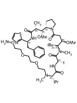 CC[C@H](C)[C@@H]([C@@H](CC(=O)N1CCC[C@H]1[C@H](OC)[C@@H](C)C(=O)N[C@@H](Cc1ccccc1)c1nccs1)OC)N(C)C(=O)[C@H](I)NC(=O)[C@H](C(C)C)N(C)CCOCCOCCON